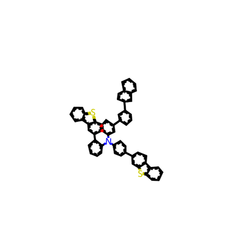 c1cc(-c2cccc(N(c3ccc(-c4ccc5c(c4)sc4ccccc45)cc3)c3ccccc3-c3ccc4sc5ccccc5c4c3)c2)cc(-c2ccc3ccccc3c2)c1